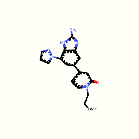 COCCn1ccc(-c2cc(-n3cccn3)c3[nH]c(N)nc3c2)cc1=O